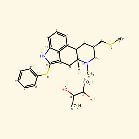 CCCSC[C@@H]1CC2c3cccc4[nH]c(Sc5ccccc5)c(c34)C[C@H]2N(C)C1.O=C(O)C(O)C(O)C(=O)O